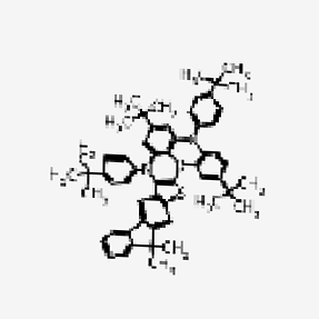 CC(C)(C)c1ccc(N2c3ccc(C(C)(C)C)cc3B3c4sc5cc6c(cc5c4N(c4ccc(C(C)(C)C)cc4)c4cc(C(C)(C)C)cc2c43)-c2ccccc2C6(C)C)cc1